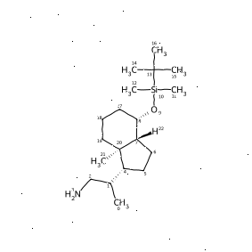 CC(CN)[C@H]1CC[C@H]2[C@@H](O[Si](C)(C)C(C)(C)C)CCC[C@]12C